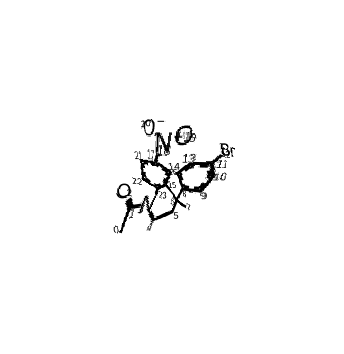 CC(=O)N1CCC(C)(c2ccc(Br)cc2)c2cc([N+](=O)[O-])ccc21